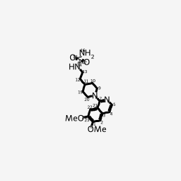 COc1cc2ccnc(N3CCC(CCNS(N)(=O)=O)CC3)c2cc1OC